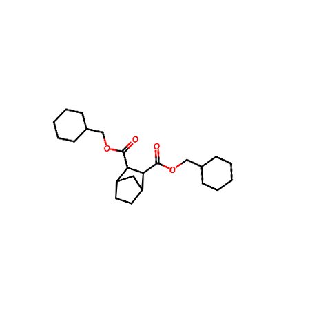 O=C(OCC1CCCCC1)C1C2CCC(C2)C1C(=O)OCC1CCCCC1